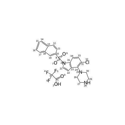 O=C(O)C(F)(F)F.O=S(=O)(c1ccc2ccccc2c1)n1ccc2c(N3CCNCC3)c(Cl)ccc21